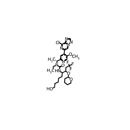 CCN(C(=O)NC(CCCCCO)C(CC(F)(F)F)OC1CCCCO1)[C@H](C)c1cc(-c2cn3ncnc3c(Cl)n2)c(OC)cn1